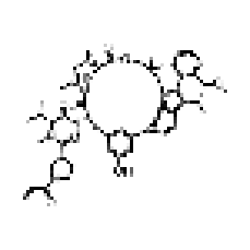 C=CC(=O)N1CC[C@H](C(=O)N(C)[C@H](C(=O)N[C@H]2Cc3cc(O)cc(c3)-c3ccc4c(c3)c(c(-c3cccnc3[C@H](C)OC)n4CC)CC(C)(C)COC(=O)[C@@H]3CCC(C)N(N3)C2=O)C(C)C)C1